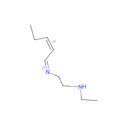 CC/C=C\C=N/CCNCC